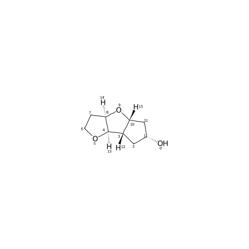 O[C@@H]1C[C@@H]2[C@H]3OCC[C@H]3O[C@@H]2C1